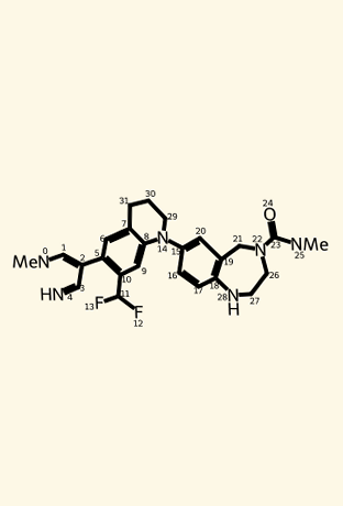 CN/C=C(\C=N)c1cc2c(cc1C(F)F)N(c1ccc3c(c1)CN(C(=O)NC)CCN3)CCC2